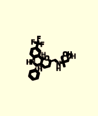 CC(CO)(CO)NC[C@H]1CC[C@@H]2[C@H](O1)c1cc(C(F)(F)F)ccc1N[C@H]2c1ccccc1